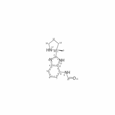 C[C@]1(c2nc3cccc(NC=O)c3[nH]2)CCCN1